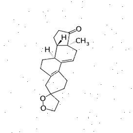 C[C@]12CC=C3C4=C(CC[C@H]3[C@@H]1CCC2=O)CC1(CCOO1)CC4